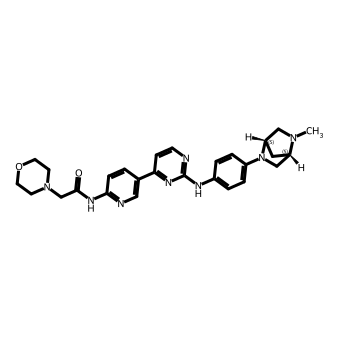 CN1C[C@@H]2C[C@H]1CN2c1ccc(Nc2nccc(-c3ccc(NC(=O)CN4CCOCC4)nc3)n2)cc1